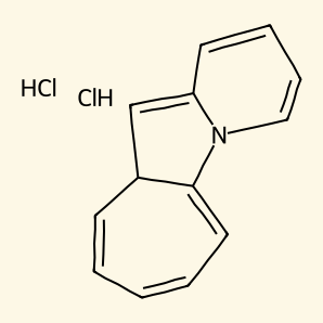 C1=CC=C2C(C=C1)C=C1C=CC=CN12.Cl.Cl